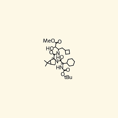 COC(=O)C(O)C(CC1CCC1)NC(=O)[C@@H]1C2C(CN1C(=O)[C@@H](NC(=O)OC(C)(C)C)C1CCCCC1)C2(C)C